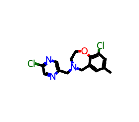 Cc1cc(Cl)c2c(c1)CN(Cc1cnc(Cl)cn1)CCO2